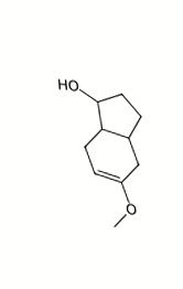 COC1=CCC2C(O)CCC2C1